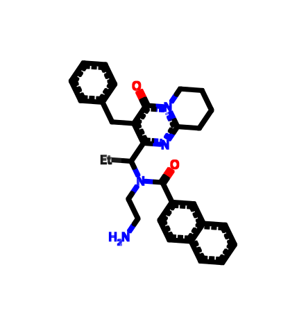 CCC(c1nc2n(c(=O)c1Cc1ccccc1)CCCC2)N(CCN)C(=O)c1ccc2ccccc2c1